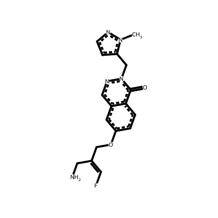 Cn1nccc1Cn1ncc2cc(OCC(=CF)CN)ccc2c1=O